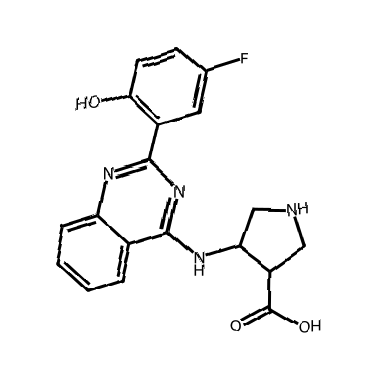 O=C(O)C1CNCC1Nc1nc(-c2cc(F)ccc2O)nc2ccccc12